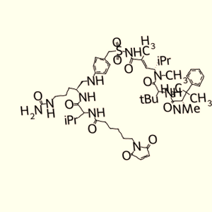 CN[C@H](C(=O)NC(C(=O)N(C)[C@H](/C=C(\C)C(=O)NS(=O)(=O)Cc1ccc(NC[C@H](CCCNC(N)=O)NC(=O)C(NC(=O)CCCCCN2C(=O)C=CC2=O)C(C)C)cc1)C(C)C)C(C)(C)C)C(C)(C)c1ccccc1